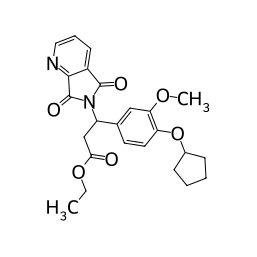 CCOC(=O)CC(c1ccc(OC2CCCC2)c(OC)c1)N1C(=O)c2cccnc2C1=O